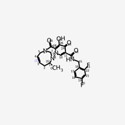 C[C@H]1C/C=C\CN2CN1n1cc(C(=O)NCc3ccc(F)cc3F)c(=O)c(O)c1C2=O